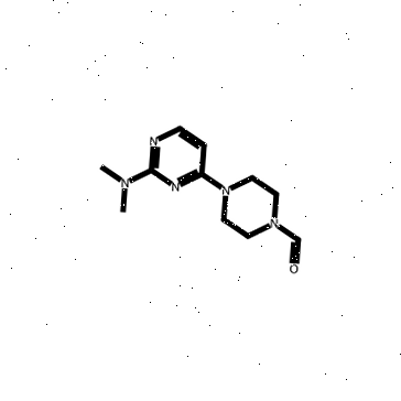 CN(C)c1nccc(N2CCN(C=O)CC2)n1